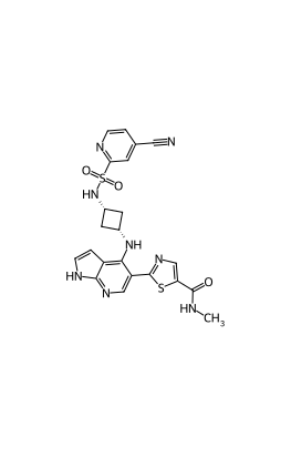 CNC(=O)c1cnc(-c2cnc3[nH]ccc3c2N[C@H]2C[C@@H](NS(=O)(=O)c3cc(C#N)ccn3)C2)s1